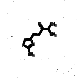 Cc1nc(C=CC(=O)C(C)C)cs1